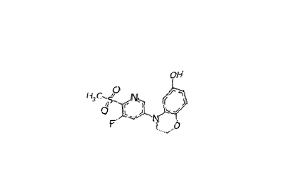 CS(=O)(=O)c1ncc(N2CCOc3ccc(O)cc32)cc1F